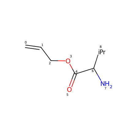 C=CCOC(=O)C(N)C(C)C